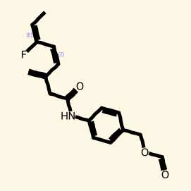 C=C(/C=C\C(F)=C/C)CC(=O)Nc1ccc(COC=O)cc1